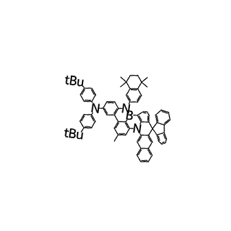 Cc1cc2c3c(c1)N1c4cc5ccccc5cc4C4(c5ccccc5-c5ccccc54)c4cccc(c41)B3N(c1ccc3c(c1)C(C)(C)CCC3(C)C)c1ccc(N(c3ccc(C(C)(C)C)cc3)c3ccc(C(C)(C)C)cc3)cc1-2